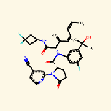 C=C(/C=C\C=C/C)[C@@H](C(=O)NC1CC(F)(F)C1)N(C(=O)[C@@H]1CCC(=O)N1c1cc(C#N)ccn1)c1cc(F)cc(C(C)(C)O)c1